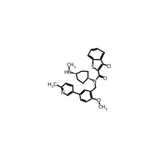 CN[C@H]1CC[C@@H](N(Cc2cc(-c3ccc(C)nc3)ccc2OC)C(=O)c2sc3ccccc3c2Cl)CC1